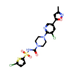 Cc1cc(-c2cnc(N3CCN(C(=O)NS(=O)(=O)c4ccc(Cl)s4)CC3)c(Cl)c2)on1